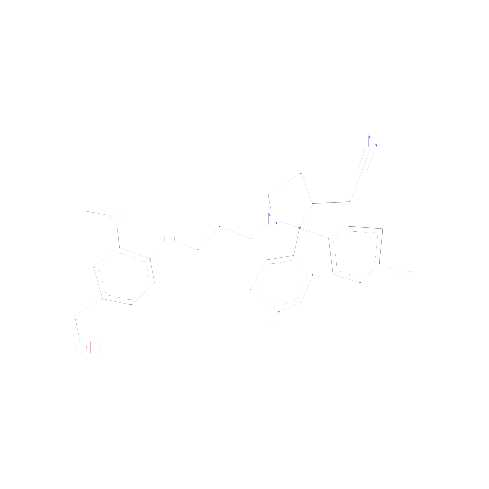 COc1cc(CO)ccc1OCCCN1CCC(CC#N)C1(c1ccc(F)cc1)c1ccc(F)cc1